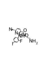 N#Cc1ccc(C(=O)NOCCN)c(Nc2ccc(I)cc2F)n1